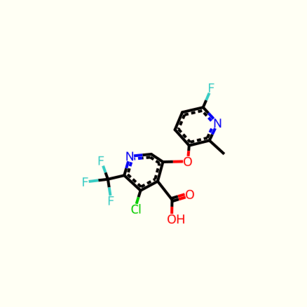 Cc1nc(F)ccc1Oc1cnc(C(F)(F)F)c(Cl)c1C(=O)O